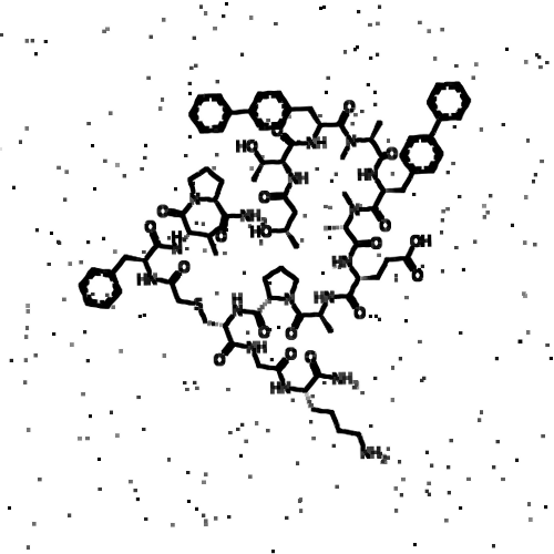 CC(C)[C@H](NC(=O)[C@H](Cc1ccccc1)NC(=O)CSC[C@H](NC(=O)[C@@H]1CCCN1C(=O)[C@H](C)NC(=O)[C@H](CCC(=O)O)NC(=O)[C@H](C)N(C)C(=O)[C@H](Cc1ccc(-c2ccccc2)cc1)NC(=O)[C@H](C)N(C)C(=O)[C@H](Cc1ccc(-c2ccccc2)cc1)NC(=O)[C@@H](NC(=O)C[C@@H](C)O)[C@@H](C)O)C(=O)NCC(=O)N[C@@H](CCCCN)C(N)=O)C(=O)N1CCC[C@H]1C(N)=O